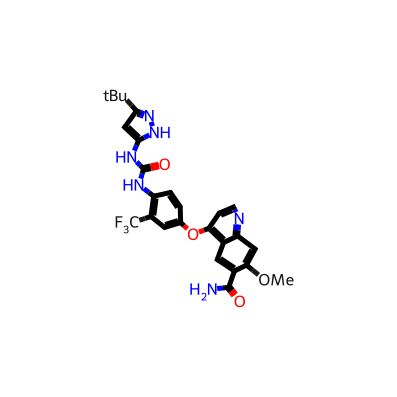 COc1cc2nccc(Oc3ccc(NC(=O)Nc4cc(C(C)(C)C)n[nH]4)c(C(F)(F)F)c3)c2cc1C(N)=O